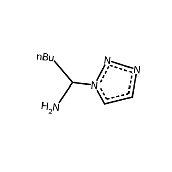 CCCCC(N)n1ccnn1